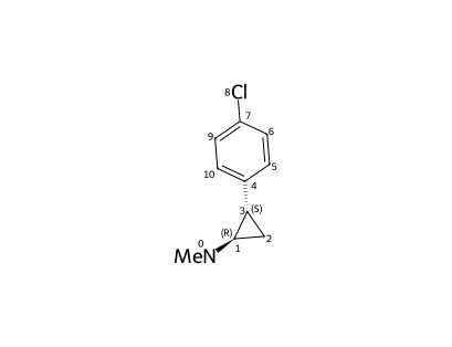 CN[C@@H]1C[C@H]1c1ccc(Cl)cc1